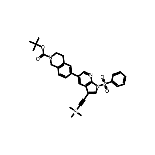 CC(C)(C)OC(=O)N1CCc2cc(-c3cnc4c(c3)c(C#C[Si](C)(C)C)cn4S(=O)(=O)c3ccccc3)ccc2C1